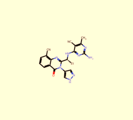 CC[C@H](Nc1nc(N)nc(C)c1C#N)c1nc2c(C#N)cccc2c(=O)n1-c1cn[nH]c1